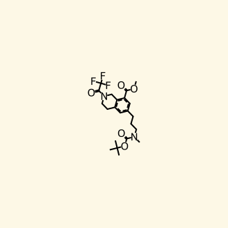 COC(=O)c1cc(CCCN(C)C(=O)OC(C)(C)C)cc2c1CN(C(=O)C(F)(F)F)CC2